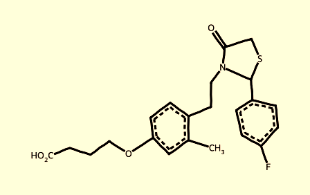 Cc1cc(OCCCC(=O)O)ccc1CCN1C(=O)CSC1c1ccc(F)cc1